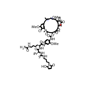 COc1cc(NC(=O)[C@H](CCCCNC(N)=O)NC(=O)[C@@H](NC(=S)NCCCCN2C(=O)C=CC2O)C(C)C)ccc1NC(=O)O[C@H]1CC(=O)N(C)c2cc(cc(OC)c2Cl)C/C(C)=C/C=C/[C@@H](OC)[C@@]2(O)C[C@H](OC(=O)N2)[C@@H](C)[C@@H]2O[C@@]12C